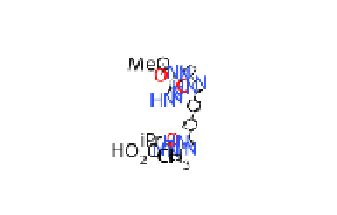 COC(=O)N[C@@H](Cc1c[nH]nn1)C(=O)N1CCC[C@H]1c1ncc(-c2ccc(-c3ccc(-c4cnc([C@@H]5CCCN5C(=O)[C@H](C(C)C)N(C)C(=O)O)[nH]4)cc3)cc2)[nH]1